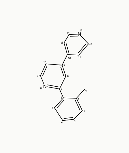 Cc1ccccc1-c1cc(-c2ccncc2)ccn1